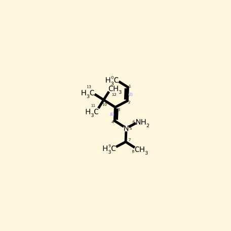 C/C=C\C(=C/N(N)C(C)C)C(C)(C)C